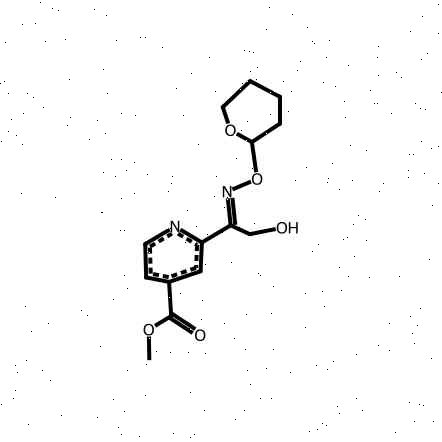 COC(=O)c1ccnc(/C(CO)=N/OC2CCCCO2)c1